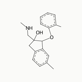 CNCC1(O)Cc2ccc(C)cc2C1Oc1ccccc1C